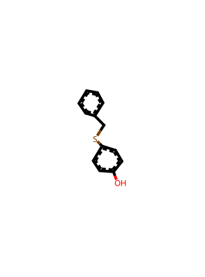 Oc1ccc(SCc2ccccc2)cc1